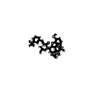 COc1ccc2c3c1OC1C(N(CC(C)C)C(=O)/C=C/c4cccc(C(F)(F)F)c4)CC[C@@]4(OC(C)=O)[C@@H](C2)N(C)CC[C@]314